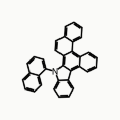 c1ccc2c(-n3c4ccccc4c4c5ccccc5c5c6ccccc6ccc5c43)cccc2c1